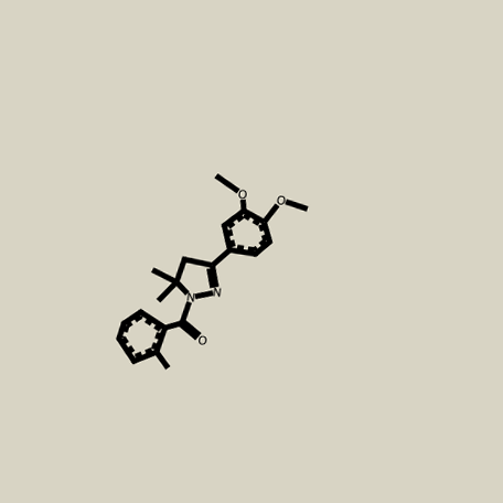 COc1ccc(C2=NN(C(=O)c3ccccc3C)C(C)(C)C2)cc1OC